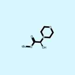 CC(C)(C)OC(=O)[C@H](O)N1CCOCC1